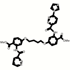 COC(=O)c1ccc(OCCCCOc2ccc(C(=O)OC)c(NC(=O)c3ccc(-n4ccnc4)nn3)c2)cc1NC(=O)c1cccnn1